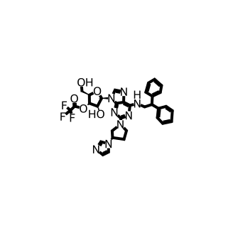 O=C(O[C@H]1[C@@H](O)[C@H](n2cnc3c(NCC(c4ccccc4)c4ccccc4)nc(N4CC[C@@H](n5ccnc5)C4)nc32)O[C@@H]1CO)C(F)(F)F